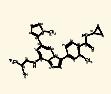 Cc1cc(-c2cnc3c(NCC(O)C(F)(F)F)cc(-c4ccnn4C)nn23)ccc1C(=O)NC1CC1